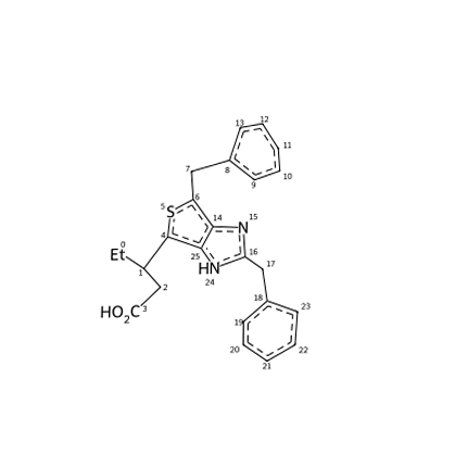 CCC(CC(=O)O)c1sc(Cc2ccccc2)c2nc(Cc3ccccc3)[nH]c12